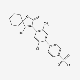 CCS(=O)(=O)c1ccc(-c2cc(C)c(C3=C(O)C4(CCCCC4)OC3=O)cc2Cl)cc1